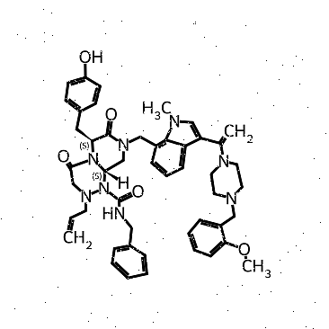 C=CCN1CC(=O)N2[C@@H](Cc3ccc(O)cc3)C(=O)N(Cc3cccc4c(C(=C)N5CCN(Cc6ccccc6OC)CC5)cn(C)c34)C[C@@H]2N1C(=O)NCc1ccccc1